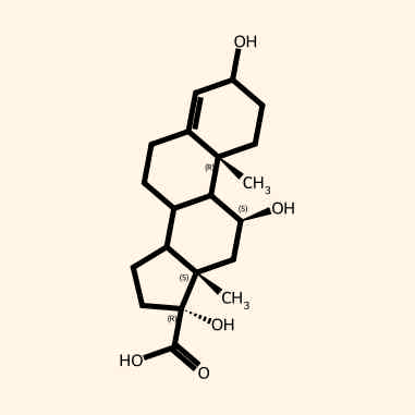 C[C@]12CCC(O)C=C1CCC1C2[C@@H](O)C[C@@]2(C)C1CC[C@]2(O)C(=O)O